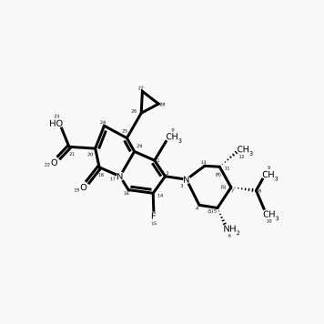 Cc1c(N2C[C@@H](N)[C@@H](C(C)C)[C@@H](C)C2)c(F)cn2c(=O)c(C(=O)O)cc(C3CC3)c12